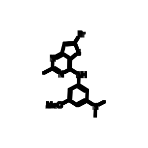 COc1cc(Nc2nc(C)nc3cc(Br)sc23)cc(N(C)C)c1